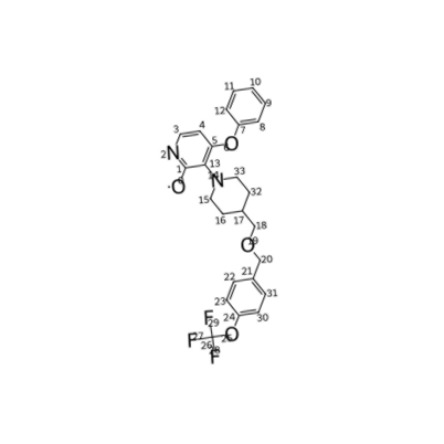 [O]c1nccc(Oc2ccccc2)c1N1CCC(COCc2ccc(OC(F)(F)F)cc2)CC1